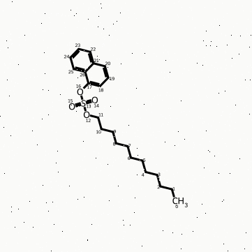 CCCCCCCCCCCCOS(=O)(=O)Oc1cccc2ccccc12